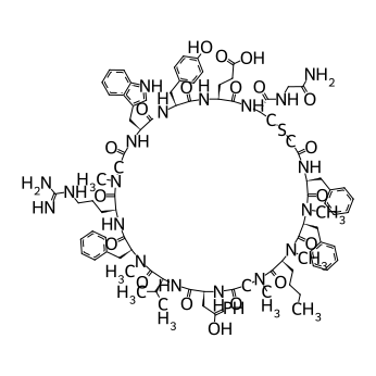 CCCC[C@H]1C(=O)N(C)CC(=O)N[C@@H](CC(O)=P)C(=O)N[C@@H](C(C)C)C(=O)N(C)[C@@H](Cc2ccccc2)C(=O)N[C@@H](CCCNC(=N)N)C(=O)N(C)CC(=O)N[C@@H](Cc2c[nH]c3ccccc23)C(=O)N[C@@H](Cc2ccc(O)cc2)C(=O)N[C@@H](CCC(=O)O)C(=O)N[C@H](C(=O)NCC(N)=O)CSCC(=O)N[C@@H](Cc2ccccc2)C(=O)N(C)[C@@H](Cc2ccccc2)C(=O)N1C